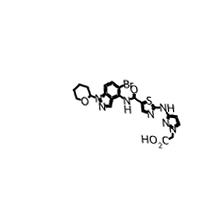 O=C(O)Cn1ccc(Nc2ncc(C(=O)Nc3c(Br)ccc4c3cnn4C3CCCCO3)s2)n1